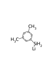 [Li][SiH2]c1cc(C)cc(C)c1